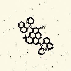 CC(C)C1CC(N(C2CCCC=N2)C2CCCC3C=CCCC32)=C2C=C3C4=C(C=C(N(C5=CC=CCN5)C5=CCCc6ccccc65)C5CCC1=C2C45)CCC3(C)C